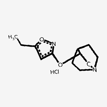 CCc1cc(OC2CN3CCC2CC3)no1.Cl